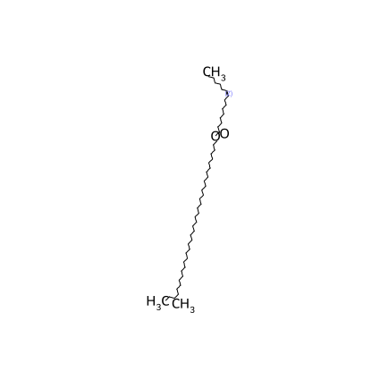 CCCCCC/C=C\CCCCCCCC(=O)OCCCCCCCCCCCCCCCCCCCCCCCCCCCCCCCCCCCC(C)CC